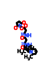 CC1CCCC(C)N1CC(C)(C)C(=O)[15NH]CCC(=O)[15NH]CCC(=O)ON1C(=O)CCC1=O